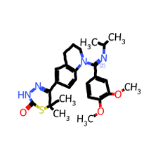 COc1ccc(/C(=N/C(C)C)N2CCCc3cc(C4=NNC(=O)SC4(C)C)ccc32)cc1OC